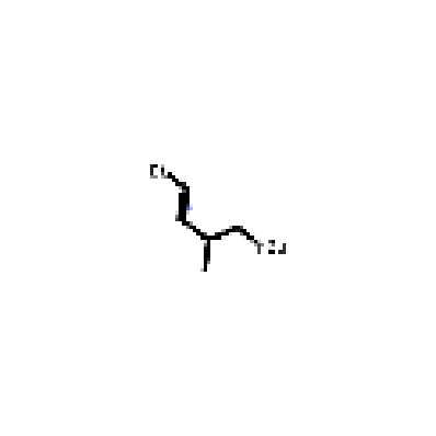 CC/C=C/C(C)CCCCC